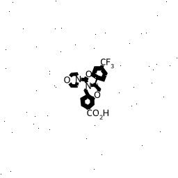 O=C(O)c1ccc2c(c1)OC[C@H](c1ccc(C(F)(F)F)cc1)N(C(=O)N1CCOCC1)C2